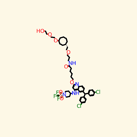 O=C(CCCCCOc1cc(NC2CCN(S(=O)(=O)C(F)(F)F)CC2)c2cc(C(c3ccc(Cl)cc3)c3ccc(Cl)cc3)ccc2n1)NCCCOCC[C@H]1CCCCC(OCCOCCO)CC1